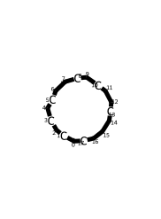 [CH]1CCCCCC[CH]CCCCCCCCCC1